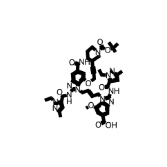 CCn1nc(C)cc1C(=O)Nc1nc2cc(C(=O)O)cc(OC)c2n1CC=CCn1c(NC(=O)c2cc(C)nn2CC)nc2cc(C(N)=O)cc(OCC#CC3CCCN(C(=O)OC(C)(C)C)C3)c21